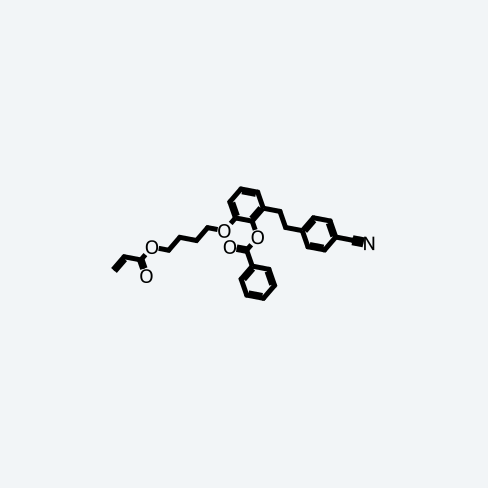 C=CC(=O)OCCCCOc1cccc(CCc2ccc(C#N)cc2)c1OC(=O)c1ccccc1